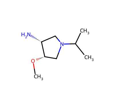 CO[C@H]1CN(C(C)C)C[C@H]1N